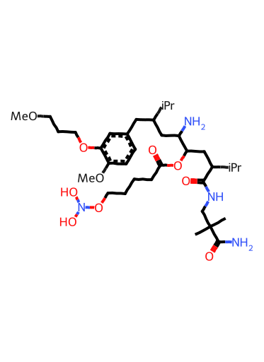 COCCCOc1cc(CC(CC(N)C(CC(C(=O)NCC(C)(C)C(N)=O)C(C)C)OC(=O)CCCCON(O)O)C(C)C)ccc1OC